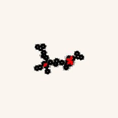 CC1(C)c2cc(-c3cc4ccccc4c4ccccc34)ccc2-c2ccc(N(c3ccc(-c4cccc5c(-c6ccc(N(c7ccc(-c8ccc9ccccc9c8)cc7)c7ccc8c(c7)C(C)(C)c7cc(-c9cc%10ccccc%10c%10ccccc9%10)ccc7-8)c(-c7cccc(-c8ccccc8)c7)c6)cccc45)cc3)c3ccccc3-c3cccc(-c4ccccc4)c3)cc21